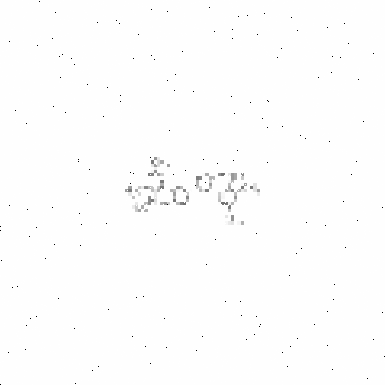 CCN(Cc1ccc(-c2ccc(CN(C)c3ccc(C)cc3C)cc2)cc1)c1ccc(C)cc1C